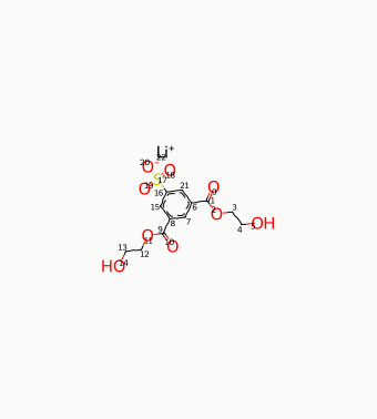 O=C(OCCO)c1cc(C(=O)OCCO)cc(S(=O)(=O)[O-])c1.[Li+]